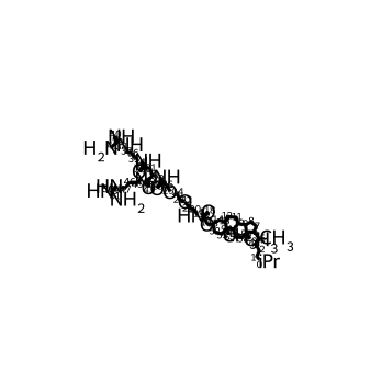 CC(C)CCCC(C)C1CCC2C3CC=C4CC(OC(=O)NCCOCCOCC(=O)NC(CC(=O)NCCCNC(=N)N)C(=O)NCCCNC(=N)N)CCC4(C)C3CCC12C